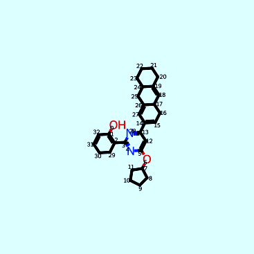 OC1=C(c2nc(OC3CCCC3)cc(C3=CCC4C=C5CCCCC5CC4=C3)n2)CCC=C1